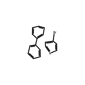 Brc1ccncc1.c1ccc(-c2ccccc2)cc1